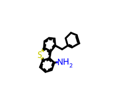 Nc1cccc2sc3cccc(CC4=CC=CCC4)c3c12